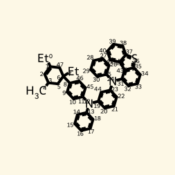 CCC1=CC(C)CC(CC)(c2ccc(N(c3ccccc3)c3cccc(N(c4ccccc4)c4cccc5sc6ccccc6c45)c3)cc2)C1